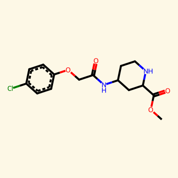 COC(=O)C1CC(NC(=O)COc2ccc(Cl)cc2)CCN1